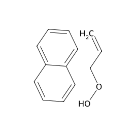 C=CCOO.c1ccc2ccccc2c1